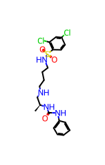 C[C@@H](CNCCCCNS(=O)(=O)c1ccc(Cl)cc1Cl)NC(=O)Nc1ccccc1